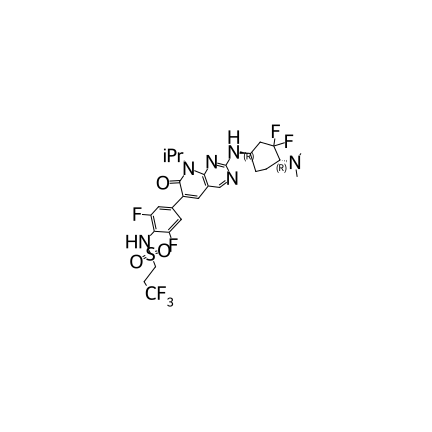 CC(C)n1c(=O)c(-c2cc(F)c(NS(=O)(=O)CCC(F)(F)F)c(F)c2)cc2cnc(N[C@@H]3CC[C@@H](N(C)C)C(F)(F)C3)nc21